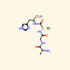 CC[C@H](C)[C@H](NC(=O)CNC(=O)[C@H](C)N)C(=O)N[C@@H](Cc1c[nH]cn1)C(=O)O